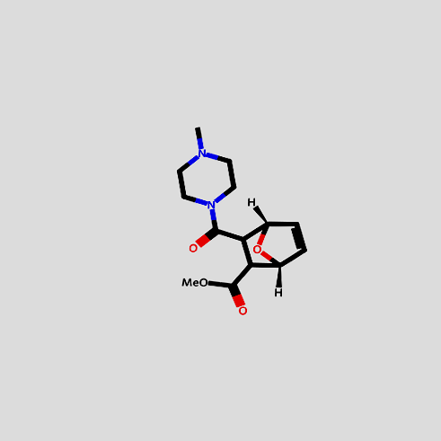 COC(=O)C1C(C(=O)N2CCN(C)CC2)[C@@H]2C=C[C@H]1O2